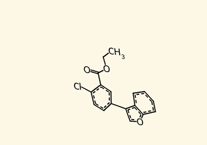 CCOC(=O)c1cc(-c2coc3ccccc23)ccc1Cl